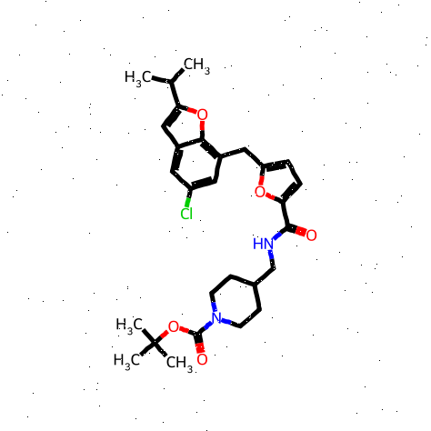 CC(C)c1cc2cc(Cl)cc(Cc3ccc(C(=O)NCC4CCN(C(=O)OC(C)(C)C)CC4)o3)c2o1